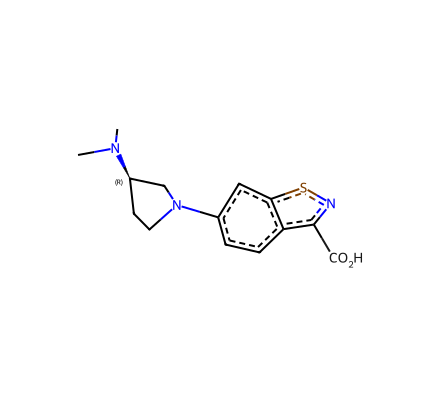 CN(C)[C@@H]1CCN(c2ccc3c(C(=O)O)nsc3c2)C1